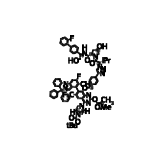 CO[C@@H](C)COc1nc(N2C[C@@H]3C[C@H]2CN3C(=O)OC(C)(C)C)c2cc(C(F)(F)F)c(-c3c(C)c(F)cc4nn(C(c5ccccc5)(c5ccccc5)c5ccccc5)cc34)c(OCc3ccc(-c4cn([C@H](C(=O)N5C[C@H](O)C[C@H]5C(=O)N[C@@H](CO)c5ccc(-c6ccccc6F)cc5)C(C)C)nn4)cc3)c2n1